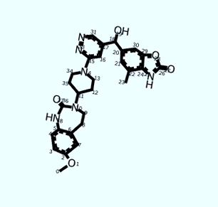 COc1ccc2c(c1)CCN(C1CCN(c3cc(C(O)c4cc(C)c5[nH]c(=O)oc5c4)cnn3)CC1)C(=O)N2